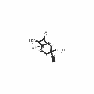 C#CC1(C(=O)O)CS[C@@H]2C(N)C(=O)N2C1